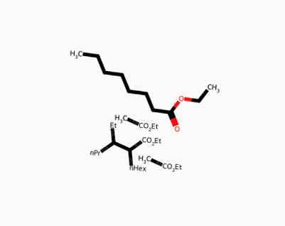 CCCCCCC(C(=O)OCC)C(CC)CCC.CCCCCCCC(=O)OCC.CCOC(C)=O.CCOC(C)=O